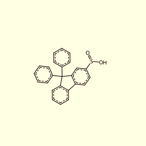 O=S(O)c1ccc2c(c1)C(c1ccccc1)(c1ccccc1)c1ccccc1-2